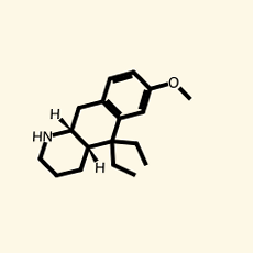 CCC1(CC)c2cc(OC)ccc2C[C@H]2NCCC[C@H]21